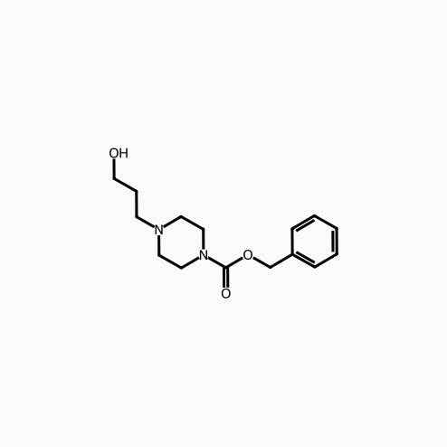 O=C(OCc1ccccc1)N1CCN(CCCO)CC1